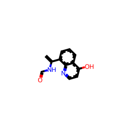 C=C(NC=O)c1cccc2c(O)ccnc12